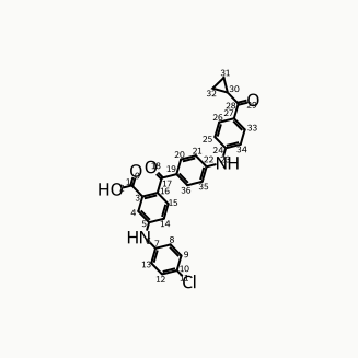 O=C(O)c1cc(Nc2ccc(Cl)cc2)ccc1C(=O)c1ccc(Nc2ccc(C(=O)C3CC3)cc2)cc1